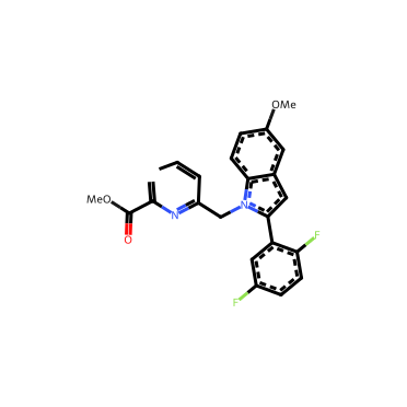 C=C(/N=C(\C=C/C)Cn1c(-c2cc(F)ccc2F)cc2cc(OC)ccc21)C(=O)OC